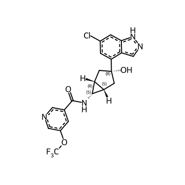 O=C(N[C@@H]1[C@@H]2C[C@@](O)(c3cc(Cl)cc4[nH]ncc34)C[C@@H]21)c1cncc(OC(F)(F)F)c1